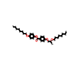 CCCCCCCCOc1ccc(OC(=O)c2ccc(OCC(C)OCCCCCCCC)cc2)cc1